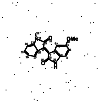 COc1ccc2c(c1)/C(=C1\C(=O)N(C)c3ccccc31)C(=O)N2